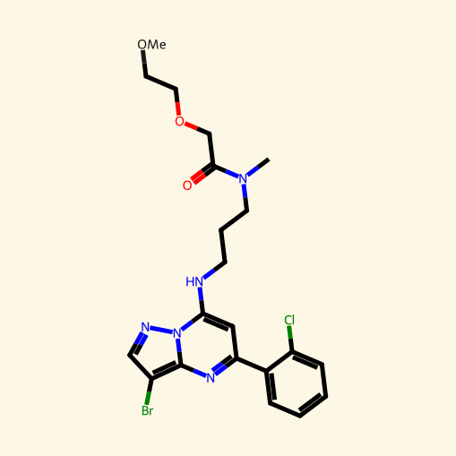 COCCOCC(=O)N(C)CCCNc1cc(-c2ccccc2Cl)nc2c(Br)cnn12